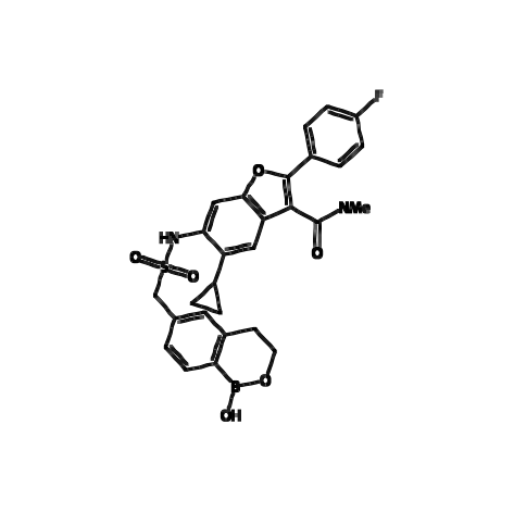 CNC(=O)c1c(-c2ccc(F)cc2)oc2cc(NS(=O)(=O)Cc3ccc4c(c3)CCOB4O)c(C3CC3)cc12